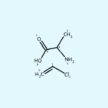 C=CCl.CC(N)C(=O)O